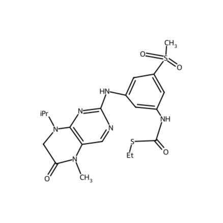 CCSC(=O)Nc1cc(Nc2ncc3c(n2)N(C(C)C)CC(=O)N3C)cc(S(C)(=O)=O)c1